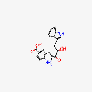 C[As](Cc1cc(C(=O)O)ccc1N)C(=O)C(O)Cc1c[nH]c2ccccc12